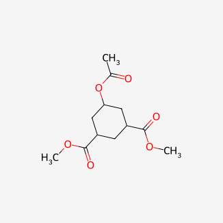 COC(=O)C1CC(OC(C)=O)CC(C(=O)OC)C1